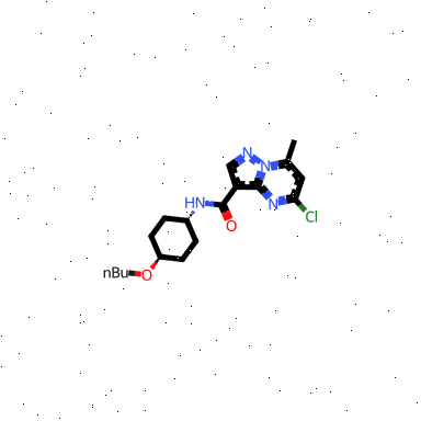 CCCCO[C@H]1CC[C@H](NC(=O)c2cnn3c(C)cc(Cl)nc23)CC1